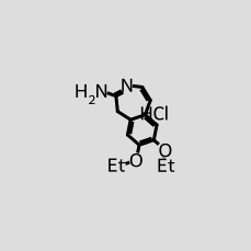 CCOc1cc2c(cc1OCC)CC(N)=NC=C2.Cl